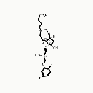 O=C(O)CCC[C@@H]1CC[C@@H]2[C@@H](C=C[C@@H](O)COc3cc(F)ccc3F)[C@H](O)C[C@@H]2OC1